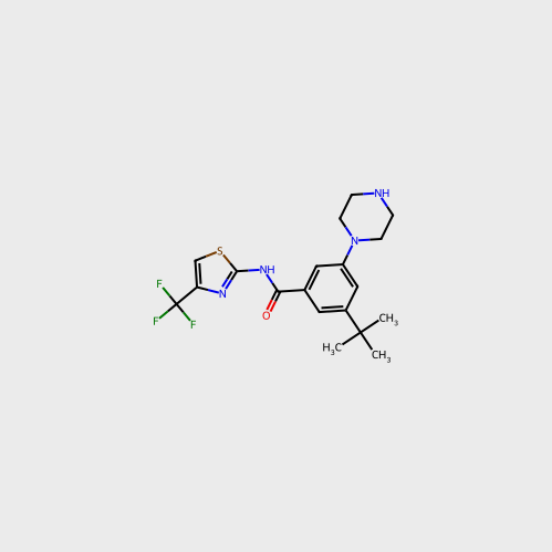 CC(C)(C)c1cc(C(=O)Nc2nc(C(F)(F)F)cs2)cc(N2CCNCC2)c1